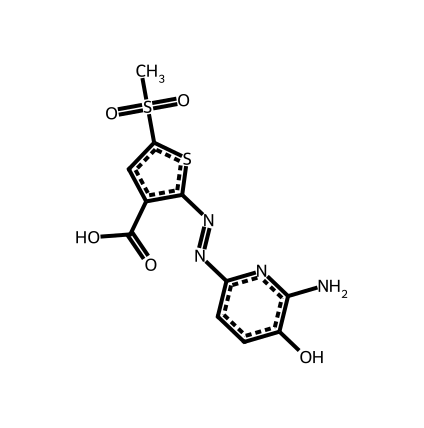 CS(=O)(=O)c1cc(C(=O)O)c(N=Nc2ccc(O)c(N)n2)s1